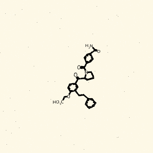 NC(=O)c1ccc(C(=O)N2CCCC2C(=O)c2ccc(OCC(=O)O)c(CCc3ccccc3)c2)cc1